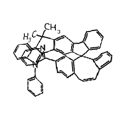 CC1(C)c2ccccc2-c2cc3c(cc21)-c1ccccc1C31c2ccccc2C=Cc2ccc(-c3nc4ccccc4n3-c3ccccc3)cc21